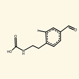 O=Cc1ccc(CCNC(=O)O)c(I)c1